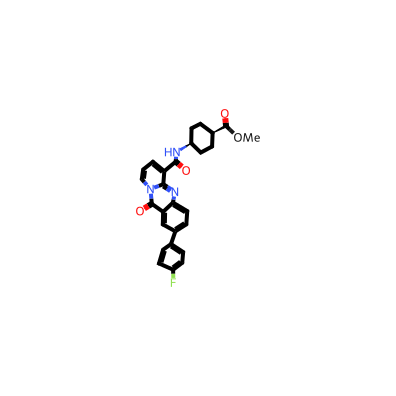 COC(=O)[C@H]1CC[C@@H](NC(=O)c2cccn3c(=O)c4cc(-c5ccc(F)cc5)ccc4nc23)CC1